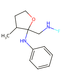 CC1CCOC1(CNF)Nc1ccccc1